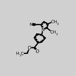 CCOC(=O)c1ccc(-n2c(C#N)cc(C)c2C)cc1